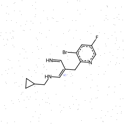 N=C/C(=C\NCC1CC1)Cc1ncc(F)cc1Br